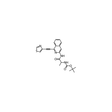 CC(NC(=O)OC(C)(C)C)C(=O)Nc1cc2ccccc2c(C#Cc2cscn2)n1